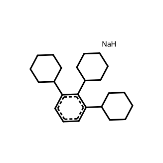 [NaH].c1cc(C2CCCCC2)c(C2CCCCC2)c(C2CCCCC2)c1